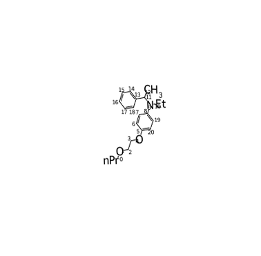 CCCOCCOc1ccc(N(CC)C(C)c2ccccc2)cc1